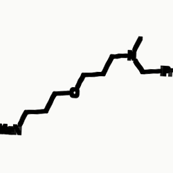 CNCCCOCCCN(C)CC(C)C